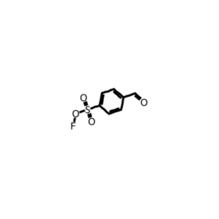 O=Cc1ccc(S(=O)(=O)OF)cc1